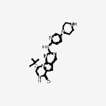 CC(C)(C)[C@H]1CNC(=O)c2cc3cnc(Nc4ccc(N5CCNCC5)cn4)nc3n21